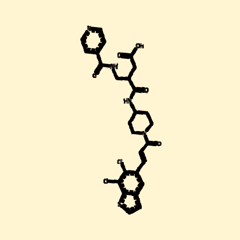 O=C(O)CC(CNC(=O)c1ccncc1)C(=O)NC1CCN(C(=O)/C=C/c2cc3ccsc3c(Cl)c2Cl)CC1